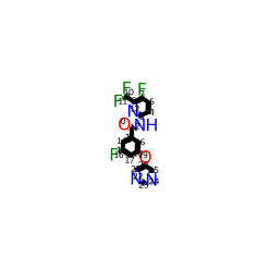 O=C(Nc1ccc(F)c(C(F)F)n1)c1cc(F)cc(Oc2cncnc2)c1